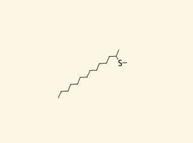 CCCCCCCCCCCCC(C)SC